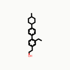 CCc1cc(CCO)ccc1-c1ccc(C2CCC(C)CC2)cc1